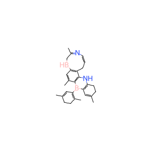 CC1=CC(B2C3=C(CCC(C)=C3)Nc3c4c(cc(C)c32)BC/C(C)=N\C=C/C4)=C(C)CC1